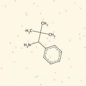 [CH2]C(C)(C)C(N)c1ccccc1